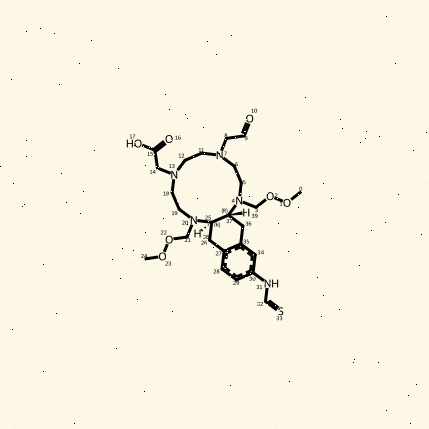 COOCN1CCN(CC=O)CCN(CC(=O)O)CCN(COOC)[C@@H]2Cc3ccc(NC=S)cc3C[C@H]21